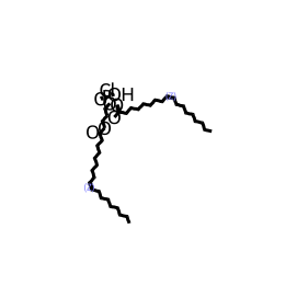 CCCCCCCC/C=C\CCCCCCCC(=O)OCC(COP(=O)(O)Cl)OC(=O)CCCCCCC/C=C\CCCCCCCC